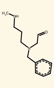 CNCCCN(CC=O)Cc1ccccc1